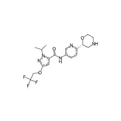 CC(C)n1nc(OCC(F)(F)F)cc1C(=O)Nc1ccc([C@H]2CNCCO2)nc1